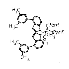 CCCCC[Si](CCCCC)=[Hf]([CH3])([CH3])([CH]1C=Cc2c(-c3cc(C)cc(C)c3)cccc21)[CH]1C=Cc2c(-c3cc(C)cc(C)c3)cccc21